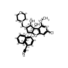 COc1nc(Cl)cc2c1[C@]1(O)[C@H](O)[C@H](CN3CCOCC3)[C@@H](c3ccccc3)[C@]1(c1ccc(C#N)cc1)O2